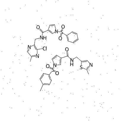 Cc1ccc(S(=O)(=O)n2ccc(C(=O)NCc3cnc(C)s3)c2)cc1.Cc1cnc(CNC(=O)c2ccn(S(=O)(=O)c3ccccc3)c2)c(Cl)n1